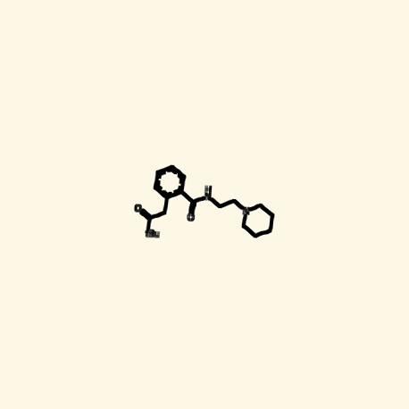 CC(C)(C)C(=O)Cc1ccccc1C(=O)NCCN1CCCCC1